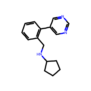 [c]1cccc(-c2cncnc2)c1CNC1CCCC1